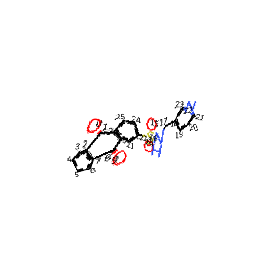 O=C1c2ccccc2C(=O)c2cc(S(=O)(=O)NCc3cccnc3)ccc21